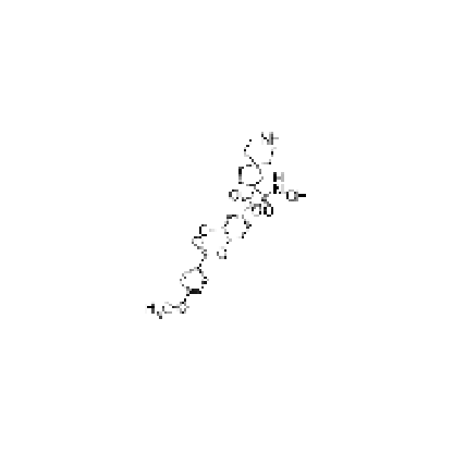 COc1ccc(C(=O)Oc2ccc(S(=O)(=O)C3(C(=O)NO)CCC4(CCNCC4)C3)cc2Cl)cc1